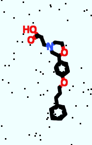 O=C(O)CCN1CCOC(c2ccc(OCCCc3ccccc3)cc2)C1